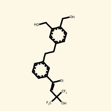 CC/C(=C\C(O)(C(F)(F)F)C(F)(F)F)c1cccc(CCc2ccc(CO)c(CO)c2)c1